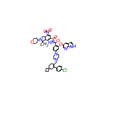 C=C1C2C=C([S+]([O-])NC(=O)c3ccc(N4CCN(CC5=C(c6ccc(Cl)cc6)CC6(CCC6)CC5)CC4)cc3Oc3cnc4[nH]ccc4c3)C=C([N+](=O)[O-])C2CN1C1CCOCC1